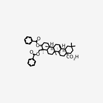 CC1(C)CC[C@]2(C(=O)O)CC[C@]3(C)C(=CC[C@@H]4[C@@]5(C)CC[C@H](OC(=O)c6ccccc6)[C@](C)(COC(=O)c6ccccc6)C5CC[C@]43C)[C@H]2C1